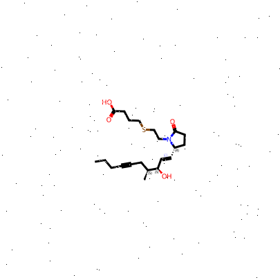 CCCC#CC[C@H](C)[C@H](O)/C=C/[C@H]1CCC(=O)N1CCSCCCC(=O)O